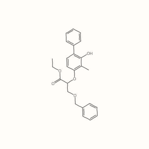 CCOC(=O)C(COCc1ccccc1)Oc1ccc(-c2ccccc2)c(O)c1C